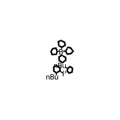 CCCCc1ccccc1[I+]c1ccccc1CCCC.c1ccc([B-](c2ccccc2)(c2ccccc2)c2ccccc2)cc1